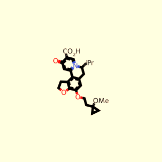 COC1(CCOc2cc3c(c4c2OCC4)-c2cc(=O)c(C(=O)O)cn2C(C(C)C)C3)CC1